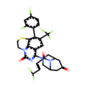 O=C1CC2CN(c3nc(=O)n4c5c(c(-c6ccc(F)cc6F)c(C(F)(F)F)cc35)SCC4)CC(C1)N2C(=O)/C=C/C(F)F